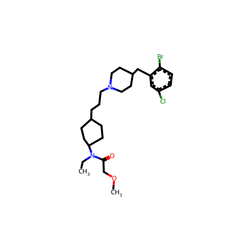 CCN(C(=O)COC)C1CCC(CCCN2CCC(Cc3cc(Cl)ccc3Br)CC2)CC1